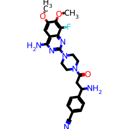 COc1cc2c(N)nc(N3CCN(C(=O)CC(N)c4ccc(C#N)cc4)CC3)nc2c(F)c1OC